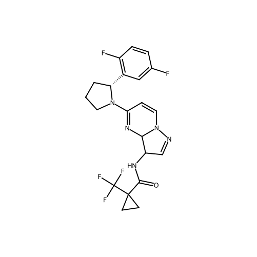 O=C(NC1C=NN2C=CC(N3CCC[C@@H]3c3cc(F)ccc3F)=NC12)C1(C(F)(F)F)CC1